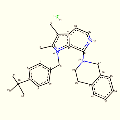 Cc1c(C)n(Cc2ccc(C(C)(C)C)cc2)c2c(N3CCc4ccccc4C3)nccc12.Cl